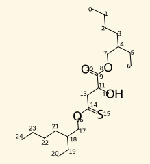 CCCCC(CC)COC(=O)C(O)CC(=S)OCC(CC)CCCC